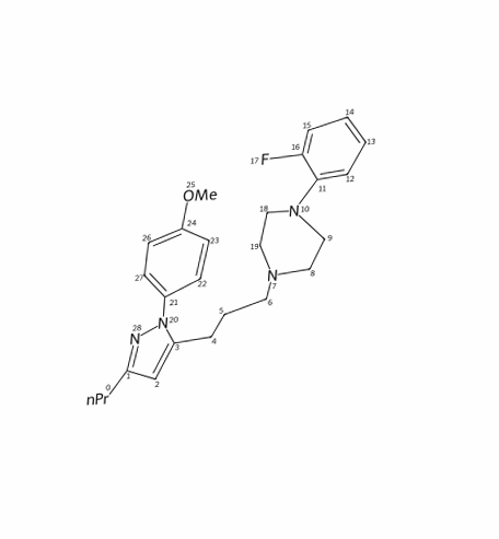 CCCc1cc(CCCN2CCN(c3ccccc3F)CC2)n(-c2ccc(OC)cc2)n1